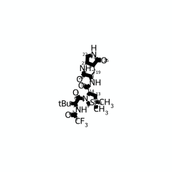 CC(C)(C)C(NC(=O)C(F)(F)F)C(=O)N1C[Si](C)(C)C[C@H]1C(=O)N[C@@H](C[C@@H]1CCNC1=O)C(N)=O